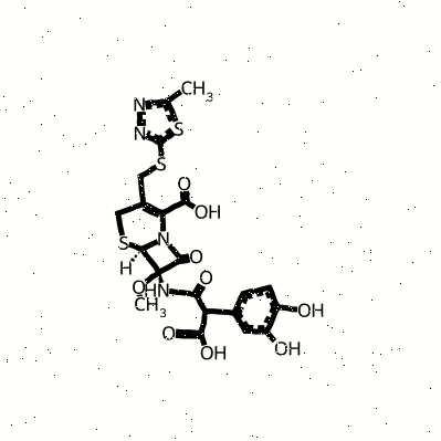 CO[C@@]1(NC(=O)C(C(=O)O)c2ccc(O)c(O)c2)C(=O)N2C(C(=O)O)=C(CSc3nnc(C)s3)CS[C@@H]21